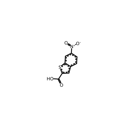 O=C(O)c1cc2ccc([N+](=O)[O-])cc2s1